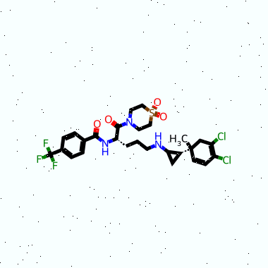 CC1([C@@H]2CC2NCCC[C@H](NC(=O)c2ccc(C(F)(F)F)cc2)C(=O)N2CCS(=O)(=O)CC2)C=CC(Cl)=C(Cl)C1